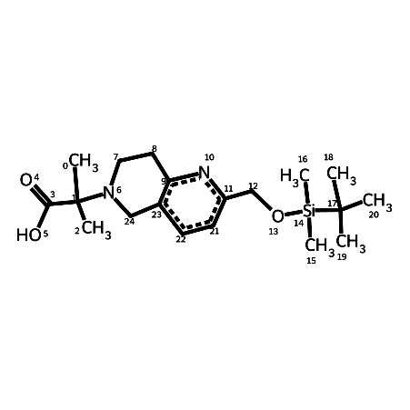 CC(C)(C(=O)O)N1CCc2nc(CO[Si](C)(C)C(C)(C)C)ccc2C1